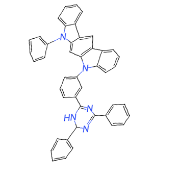 c1ccc(C2=NC(c3ccccc3)NC(c3cccc(-n4c5ccccc5c5cc6c7ccccc7n(-c7ccccc7)c6cc54)c3)=N2)cc1